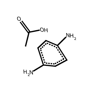 CC(=O)O.Nc1ccc(N)cc1